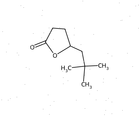 CC(C)(C)CC1CCC(=O)O1